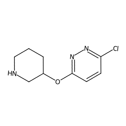 Clc1ccc(OC2CCCNC2)nn1